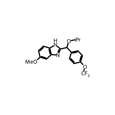 COc1ccc2[nH]c(C(OC(C)C)c3ccc(OC(F)(F)F)cc3)nc2c1